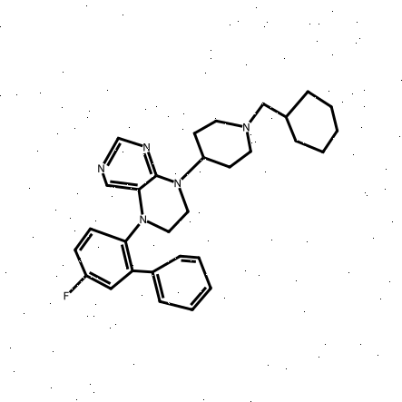 Fc1ccc(N2CCN(C3CCN(CC4CCCCC4)CC3)c3ncncc32)c(-c2ccccc2)c1